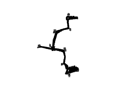 [CH2]N(CCOC)CCOC